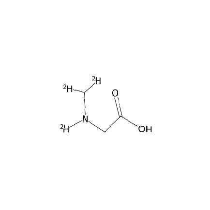 [2H]C([2H])N([2H])CC(=O)O